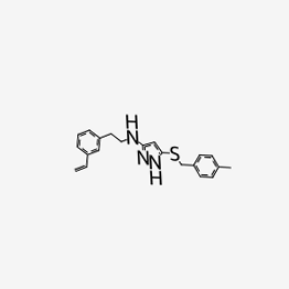 C=Cc1cccc(CCNc2cc(SCc3ccc(C)cc3)[nH]n2)c1